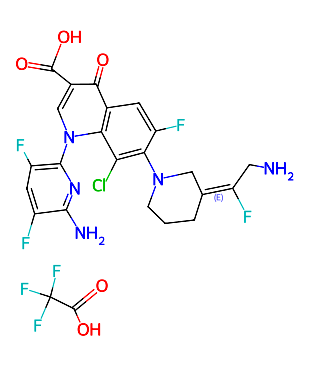 NC/C(F)=C1/CCCN(c2c(F)cc3c(=O)c(C(=O)O)cn(-c4nc(N)c(F)cc4F)c3c2Cl)C1.O=C(O)C(F)(F)F